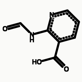 O=CNc1ncccc1C(=O)O